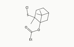 CCC(=O)OC12CC(CCC1(C)SCl)C2(C)C